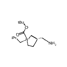 CC(C)C[N+]1(C(=O)OC(C)(C)C)CC[C@@H](CN)C1